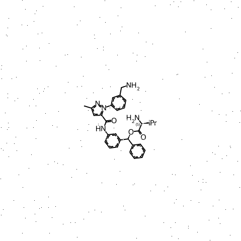 Cc1cc(C(=O)Nc2cccc(C(OC(=O)[C@@H](N)C(C)C)c3ccccc3)c2)n(-c2cccc(CN)c2)n1